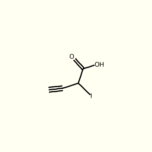 C#CC(I)C(=O)O